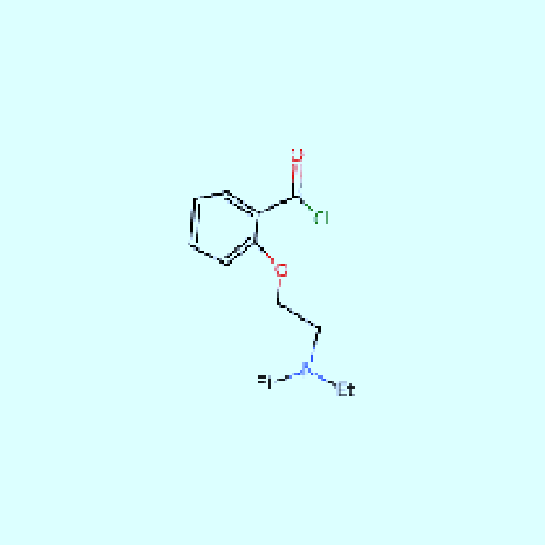 CCN(CC)CCOc1ccccc1C(=O)Cl